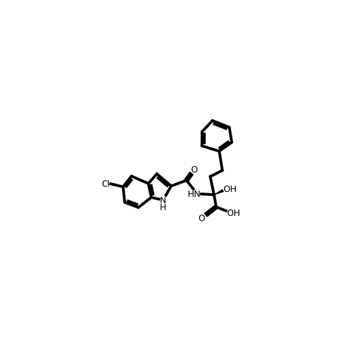 O=C(N[C@](O)(CCc1ccccc1)C(=O)O)c1cc2cc(Cl)ccc2[nH]1